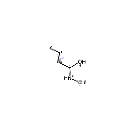 C/C=C/C(O)NO